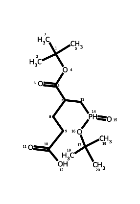 CC(C)(C)OC(=O)C(CCC(=O)O)C[PH](=O)OC(C)(C)C